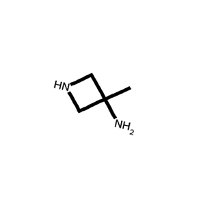 CC1(N)CNC1